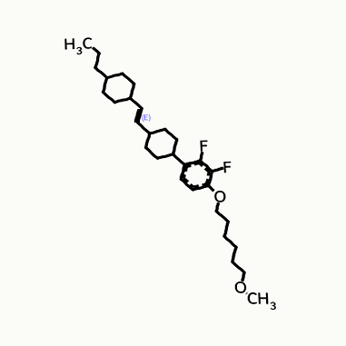 CCCC1CCC(/C=C/C2CCC(c3ccc(OCCCCCCOC)c(F)c3F)CC2)CC1